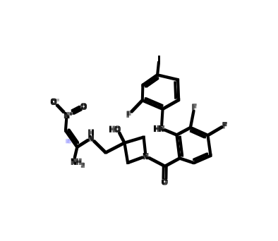 N/C(=C/[N+](=O)[O-])NCC1(O)CN(C(=O)c2ccc(F)c(F)c2Nc2ccc(I)cc2F)C1